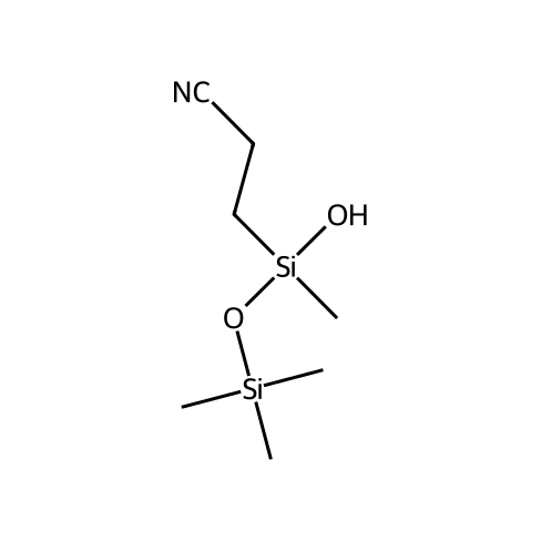 C[Si](C)(C)O[Si](C)(O)CCC#N